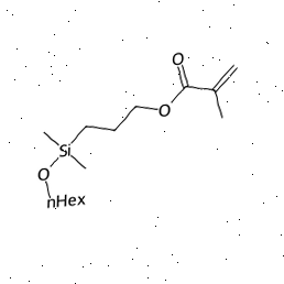 C=C(C)C(=O)OCCC[Si](C)(C)OCCCCCC